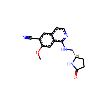 COc1cc2c(NC[C@@H]3CCC(=O)N3)nccc2cc1C#N